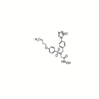 C=CCCOc1ccc(S(=O)(=O)N(CC(=O)NO)Cc2ccc(-n3cnnc3)cc2)cc1.Cl